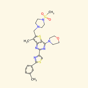 Cc1cccc(-c2nc(-c3nc(N4CCOCC4)c4sc(CN5CCN(S(C)(=O)=O)CC5)c(C)c4n3)cs2)c1